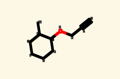 C#CCOC1CCCCC1C